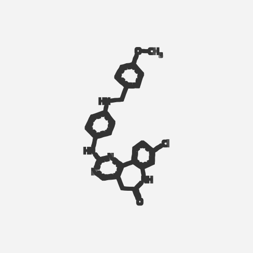 COc1ccc(CNc2ccc(Nc3ncc4c(n3)-c3ccc(Cl)cc3NC(=O)C4)cc2)cc1